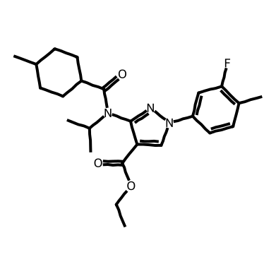 CCOC(=O)c1cn(-c2ccc(C)c(F)c2)nc1N(C(=O)C1CCC(C)CC1)C(C)C